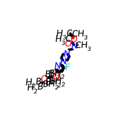 BC(B)(B)OC(B)(B)C(B)(B)Oc1cnc(N2CCN(CCN(C)C(=O)OC(C)(C)C)CC2)c(F)c1